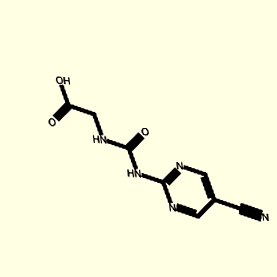 N#Cc1cnc(NC(=O)NCC(=O)O)nc1